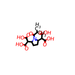 CC(C)C(=O)N1C(C(C(=O)O)C(=O)O)CCC1C(C(=O)O)C(=O)O